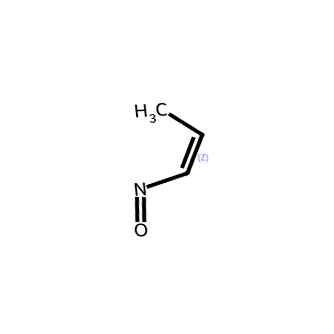 C/C=C\N=O